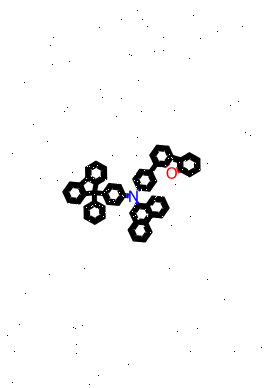 c1ccc(C2(c3ccc(N(c4ccc(-c5cccc6c5oc5ccccc56)cc4)c4cc5ccccc5c5ccccc45)cc3)c3ccccc3-c3ccccc32)cc1